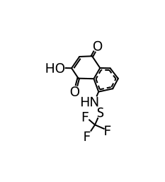 O=C1C=C(O)C(=O)c2c(NSC(F)(F)F)cccc21